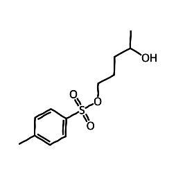 Cc1ccc(S(=O)(=O)OCCCC(C)O)cc1